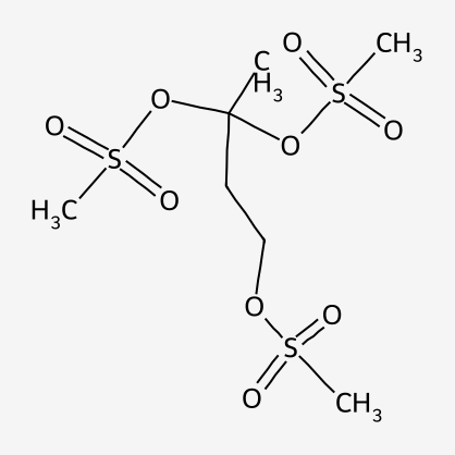 CC(CCOS(C)(=O)=O)(OS(C)(=O)=O)OS(C)(=O)=O